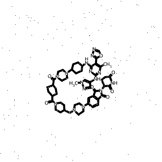 Cc1nc(Nc2cnn(C)c2)nc(NC2CCC(N3CCN(C(=O)C4CCC(C(=O)N5CCC(CN6CCN(c7ccc8c(c7)C(=O)N(C7CCC(=O)NC7=O)C8=O)CC6)CC5)CC4)CC3)CC2)c1-c1nnco1